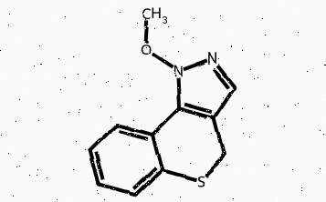 COn1ncc2c1-c1ccccc1SC2